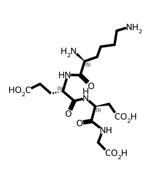 NCCCC[C@H](N)C(=O)N[C@@H](CCC(=O)O)C(=O)N[C@@H](CC(=O)O)C(=O)NCC(=O)O